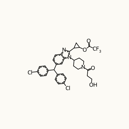 O=C(CCO)N1CCC(n2c(C3CC3OC(=O)C(F)(F)F)nc3ccc(C(c4ccc(Cl)cc4)c4ccc(Cl)cc4)cc32)CC1